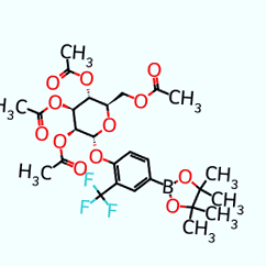 CC(=O)OC[C@H]1O[C@H](Oc2ccc(B3OC(C)(C)C(C)(C)O3)cc2C(F)(F)F)[C@@H](OC(C)=O)[C@@H](OC(C)=O)[C@@H]1OC(C)=O